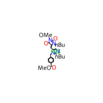 CCCCc1ncc(/C=C2/C(=O)N(COC)C(=O)N2CCCC)n1Cc1ccc(C(=O)OC)cc1.Cl